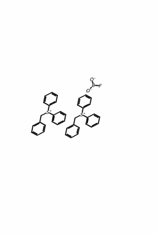 [O-]B([O-])F.c1ccc(C[S+](c2ccccc2)c2ccccc2)cc1.c1ccc(C[S+](c2ccccc2)c2ccccc2)cc1